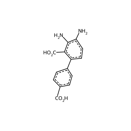 Nc1ccc(-c2ccc(C(=O)O)cc2)c(C(=O)O)c1N